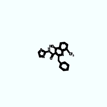 O=C(Nc1nccs1)c1c(Cc2ccccc2)nc2c(C(F)(F)F)cccc2c1O